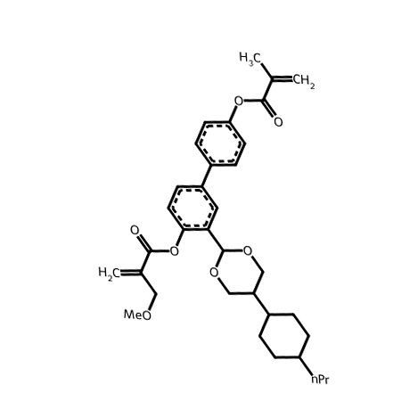 C=C(C)C(=O)Oc1ccc(-c2ccc(OC(=O)C(=C)COC)c(C3OCC(C4CCC(CCC)CC4)CO3)c2)cc1